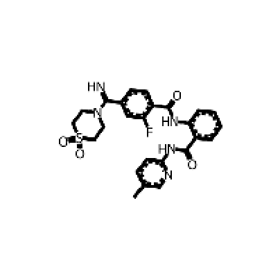 Cc1ccc(NC(=O)c2ccccc2NC(=O)c2ccc(C(=N)N3CCS(=O)(=O)CC3)cc2F)nc1